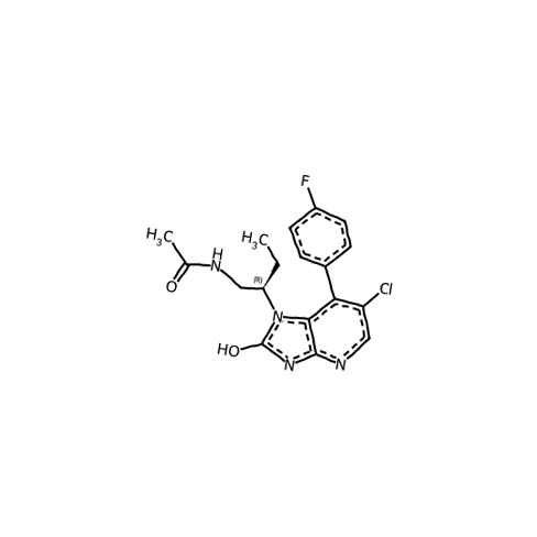 CC[C@H](CNC(C)=O)n1c(O)nc2ncc(Cl)c(-c3ccc(F)cc3)c21